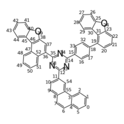 c1ccc2c(c1)ccc1ccc(-c3nc(-c4ccc(-c5cccc6oc7ccccc7c56)cc4)nc(-c4cc5oc6ccccc6c5c5ccccc45)n3)cc12